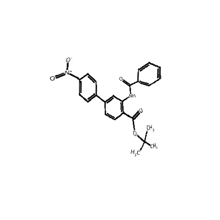 CC(C)(C)OC(=O)c1ccc(-c2ccc([N+](=O)[O-])cc2)cc1NC(=O)c1ccccc1